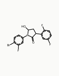 O=C1C(c2cc(F)ccc2F)CC(O)N1c1ccc(Br)c(F)c1